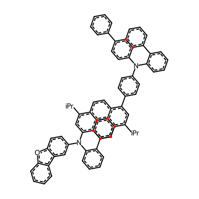 CC(C)c1cc(-c2ccc(N(c3ccc(-c4ccccc4)cc3)c3ccccc3-c3ccccc3)cc2)c2ccc3c(C(C)C)cc(N(c4ccc5oc6ccccc6c5c4)c4ccccc4-c4ccccc4)c4ccc1c2c34